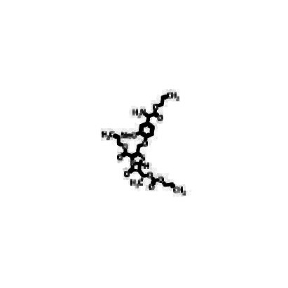 C=CCOC(=O)O[C@H](C)[C@H]1C(=O)N2C(C(=O)OCC=C)=C(COc3ccc(C(N)C(=O)OCC=C)cc3OC)S[C@H]12